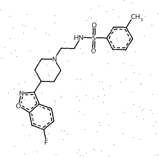 Cc1cccc(S(=O)(=O)NCCN2CCC(c3noc4cc(F)ccc34)CC2)c1